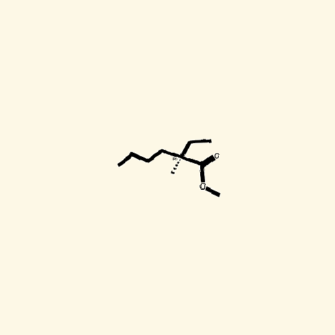 CCCC[C@@](C)(CC)C(=O)OC